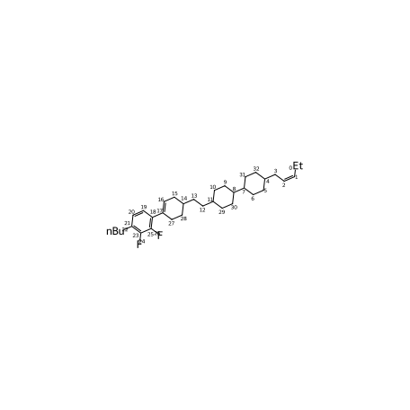 CC/C=C\CC1CCC(C2CCC(CCC3CC=C(c4ccc(CCCC)c(F)c4F)CC3)CC2)CC1